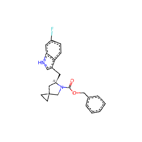 O=C(OCc1ccccc1)N1CC2(CC2)C[C@H]1Cc1c[nH]c2cc(F)ccc12